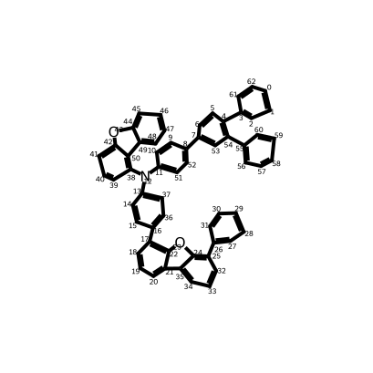 c1ccc(-c2ccc(-c3ccc(N(c4ccc(-c5cccc6c5oc5c(-c7ccccc7)cccc56)cc4)c4cccc5oc6ccccc6c45)cc3)cc2-c2ccccc2)cc1